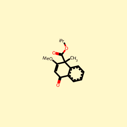 COC1=CC(=O)c2ccccc2C1(C)C(=O)OC(C)C